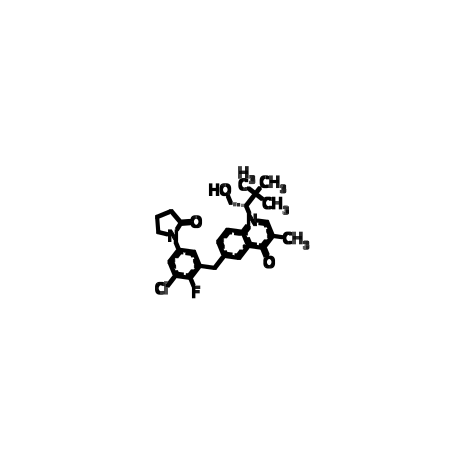 Cc1cn([C@H](CO)C(C)(C)C)c2ccc(Cc3cc(N4CCCC4=O)cc(Cl)c3F)cc2c1=O